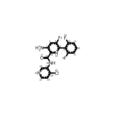 Nc1cc(F)c(-c2c(F)cccc2F)nc1C(=O)Nc1cnccc1Cl